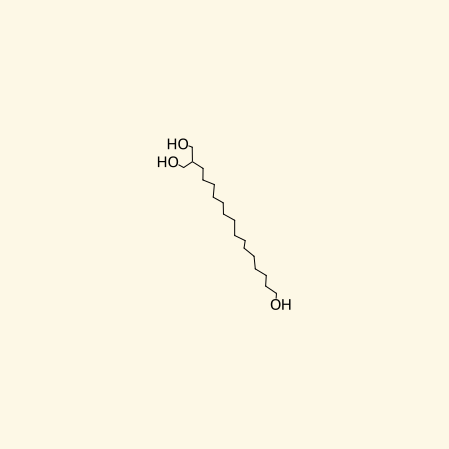 OCCCCCCCCCCCCCCCC(CO)CO